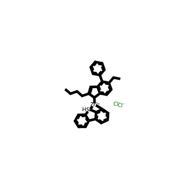 CCCCC1=Cc2c(ccc(CC)c2-c2ccccc2)[CH]1[Zr+2]1[c]2cccc3c2[SiH]1c1ccccc1-3.[Cl-].[Cl-]